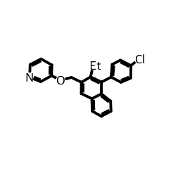 CCc1c(COc2cccnc2)cc2ccccc2c1-c1ccc(Cl)cc1